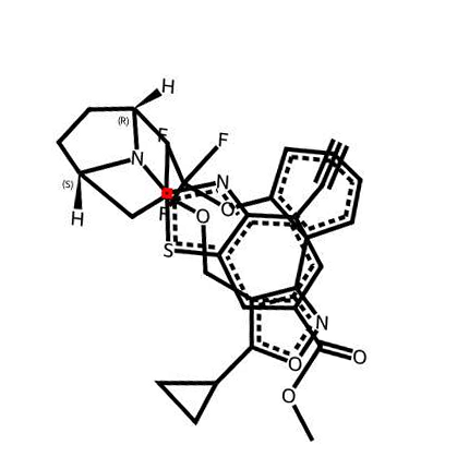 C#Cc1cc(C(=O)OC)cc2sc(N3[C@@H]4CC[C@H]3CC(OCc3c(-c5ccccc5OC(F)(F)F)noc3C3CC3)C4)nc12